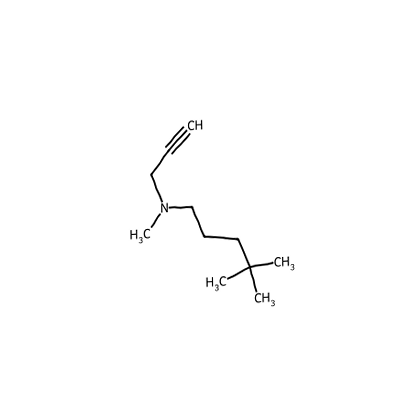 C#CCN(C)CCCC(C)(C)C